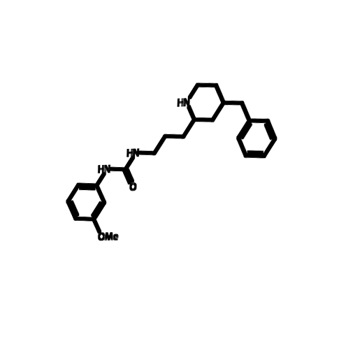 COc1cccc(NC(=O)NCCCC2CC(Cc3ccccc3)CCN2)c1